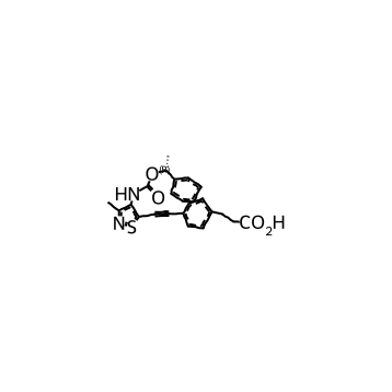 Cc1nsc(C#Cc2ccc(CCC(=O)O)cc2)c1NC(=O)O[C@H](C)c1ccccc1